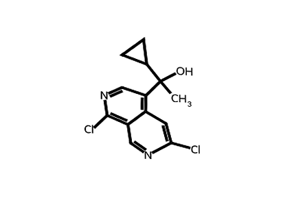 CC(O)(c1cnc(Cl)c2cnc(Cl)cc12)C1CC1